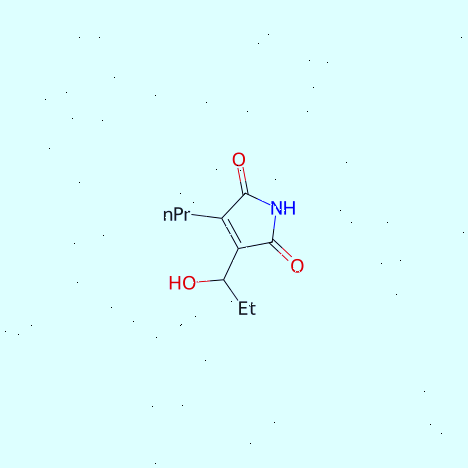 CCCC1=C(C(O)CC)C(=O)NC1=O